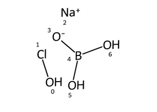 OCl.[Na+].[O-]B(O)O